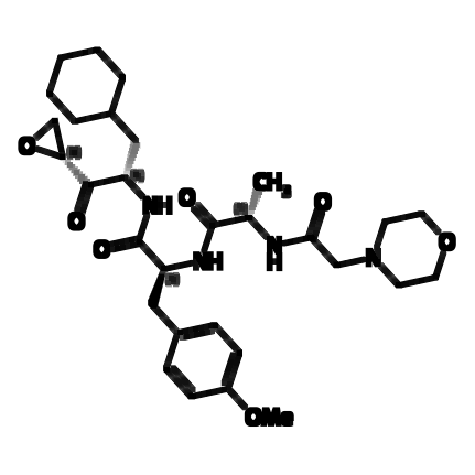 COc1ccc(C[C@H](NC(=O)[C@H](C)NC(=O)CN2CCOCC2)C(=O)N[C@@H](CC2CCCCC2)C(=O)[C@H]2CO2)cc1